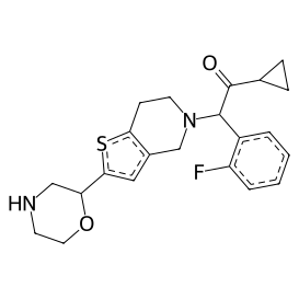 O=C(C1CC1)C(c1ccccc1F)N1CCc2sc(C3CNCCO3)cc2C1